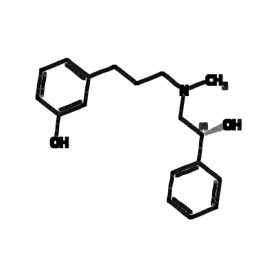 CN(CCCc1cccc(O)c1)C[C@H](O)c1ccccc1